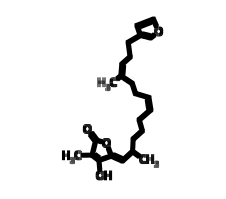 CC1=C(O)/C(=C/C(C)CCC/C=C\CC/C(C)=C\CCc2ccoc2)OC1=O